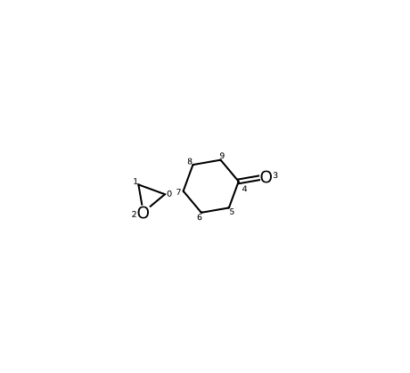 C1CO1.O=C1CCCCC1